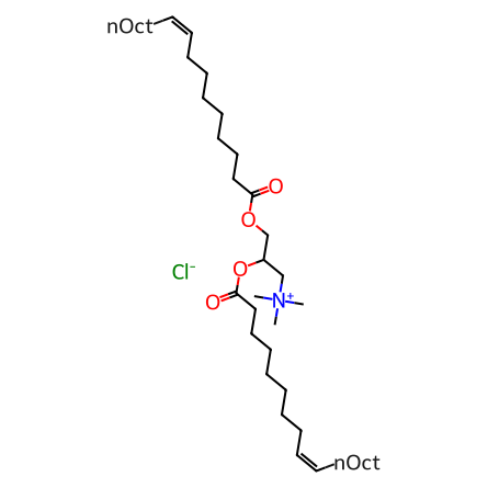 CCCCCCCC/C=C\CCCCCCCC(=O)OCC(C[N+](C)(C)C)OC(=O)CCCCCCC/C=C\CCCCCCCC.[Cl-]